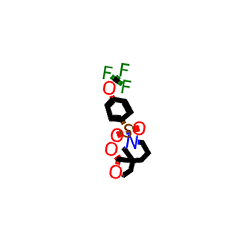 O=C1OCCC12CCCN(S(=O)(=O)c1ccc(OC(F)(F)F)cc1)C2